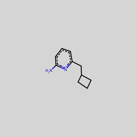 Nc1cccc(CC2CCC2)n1